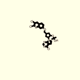 CC(C)(O)OC1CC(COc2ccc3cc(Cl)c(Cl)nc3c2)CC1n1ccc2c(Cl)ncnc21